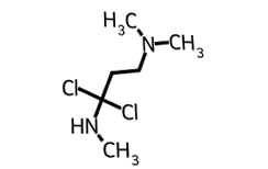 CNC(Cl)(Cl)CCN(C)C